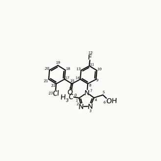 Cc1nnc(CO)n1-c1ccc(F)cc1C(=O)c1ccccc1Cl